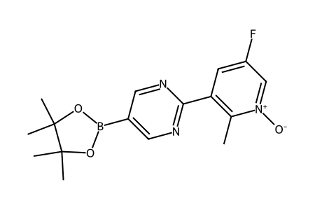 Cc1c(-c2ncc(B3OC(C)(C)C(C)(C)O3)cn2)cc(F)c[n+]1[O-]